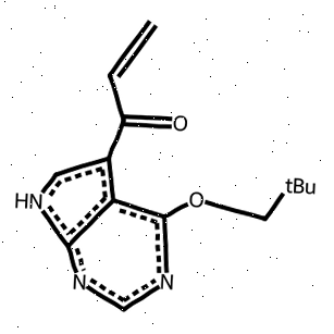 C=CC(=O)c1c[nH]c2ncnc(OCC(C)(C)C)c12